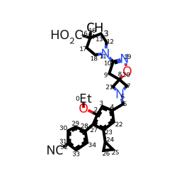 CCOc1cc(CN2CC3(CC(N4CCC(C)(C(=O)O)CC4)=NO3)C2)cc(C2CC2)c1-c1ccc(C#N)cc1